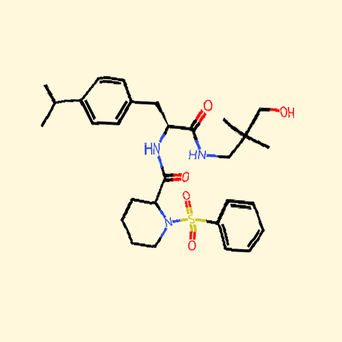 CC(C)c1ccc(C[C@H](NC(=O)C2CCCCN2S(=O)(=O)c2ccccc2)C(=O)NCC(C)(C)CO)cc1